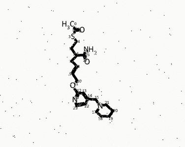 CC(=O)SCCC(CC=CCOc1cc(CN2CCCCC2)ccn1)C(N)=O